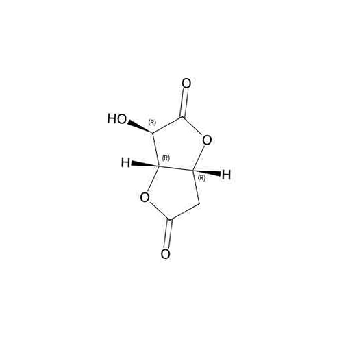 O=C1C[C@H]2OC(=O)[C@H](O)[C@H]2O1